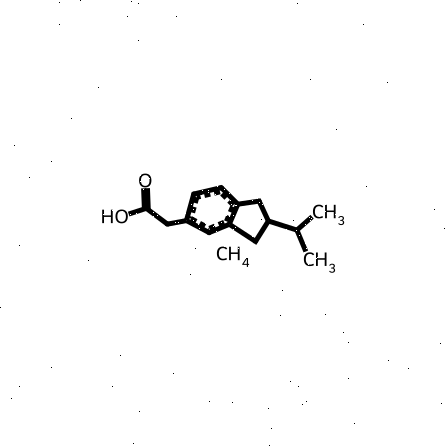 C.CC(C)C1Cc2ccc(CC(=O)O)cc2C1